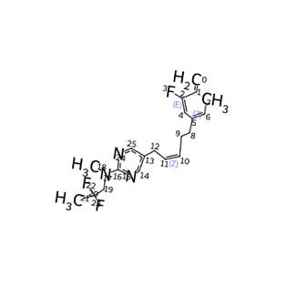 C=C/C(F)=C\C(=C/C)CC/C=C\Cc1cnc(N(C)CC(C)(F)F)nc1